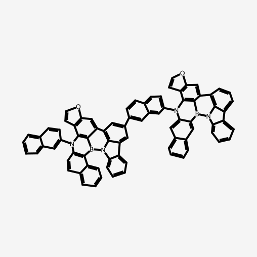 c1ccc2cc(N3c4ccc5ccccc5c4B4c5c(cc6occc6c53)-c3cc(-c5ccc6ccc(N7c8cc9ccccc9cc8B8c9c(cc%10occc%10c97)-c7cccc9c%10ccccc%10n8c79)cc6c5)cc5c6ccccc6n4c35)ccc2c1